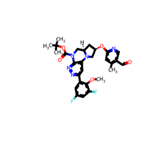 COc1c(F)cc(F)cc1-c1cc2c(nn1)N(C(=O)OC(C)(C)C)C[C@H]1C[C@@H](Oc3cc(C)c(C=O)cn3)CN21